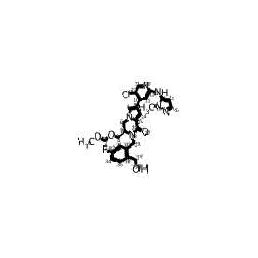 COCOC[C@H]1Cn2cc(-c3cc(Nc4ccnn4C)ncc3Cl)cc2C(=O)N1Cc1cc(F)ccc1CO